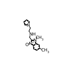 Cc1ccc2c(c1)n(C)c(CNCCn1cccc1)[n+]2[O-]